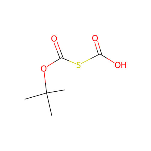 CC(C)(C)OC(=O)SC(=O)O